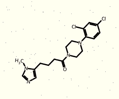 Cn1cncc1CCCC(=O)N1CCN(c2ccc(Cl)cc2Cl)CC1